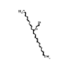 CCCCCCCCCCCCC(CCCCCCCCC)OCC[O]